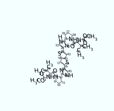 COC(=O)N[C@H](C(=O)N1CCC[C@H]1c1nc(-c2cc3sc(-c4c[nH]c([C@@H]5CCCN5C(=O)[C@@H](NC(=O)OC)C(C)C)n4)cc3s2)c[nH]1)C(C)C